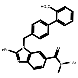 CCCCc1nc2ccc(C(=O)N(C)CCCC)cc2n1Cc1ccc(-c2ccccc2C(=O)O)cc1